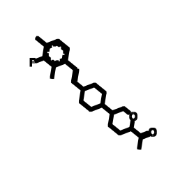 CC(=O)C1CCC(C2CCC(/C=C/c3ccc(C)c(F)c3C)CC2)CO1